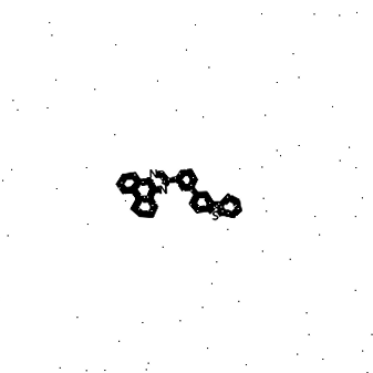 c1cc(-c2ccc3sc4ccccc4c3c2)cc(-c2cnc3c4ccccc4c4ccccc4c3n2)c1